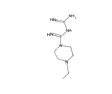 CCN1CCN(C(=N)NC(=N)N)CC1